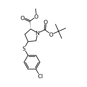 COC(=O)[C@H]1CC(Sc2ccc(Cl)cc2)CN1C(=O)OC(C)(C)C